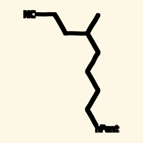 CCCCCCCCCC(C)CCC#N